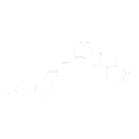 CCCCNCC1=Cc2cc(COc3cccc4c3CN(C3CCC(O)NC3=O)C4=O)oc2CC1